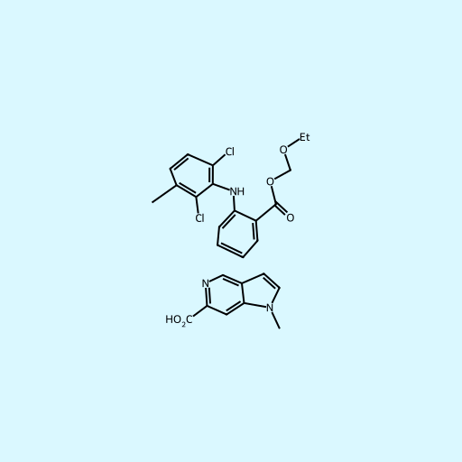 CCOCOC(=O)c1ccccc1Nc1c(Cl)ccc(C)c1Cl.Cn1ccc2cnc(C(=O)O)cc21